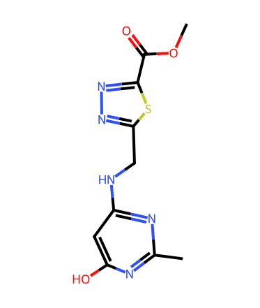 COC(=O)c1nnc(CNc2cc(O)nc(C)n2)s1